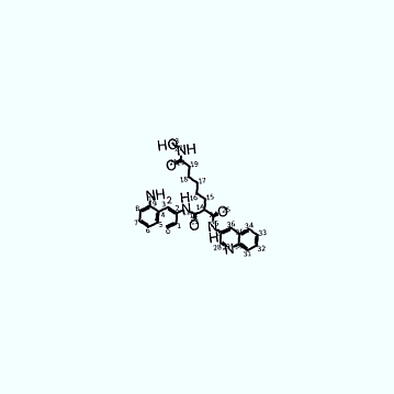 C=C/C(=C\c1ccccc1N)NC(=O)C(CCCCCC(=O)NO)C(=O)Nc1cnc2ccccc2c1